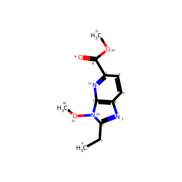 CCc1nc2ccc(C(=O)OC)nc2n1OC